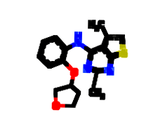 Cc1nc(Nc2ccccc2OC2CCOC2)c2c(C)csc2n1